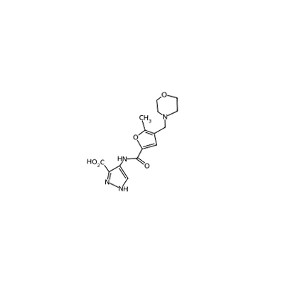 Cc1oc(C(=O)Nc2c[nH]nc2C(=O)O)cc1CN1CCOCC1